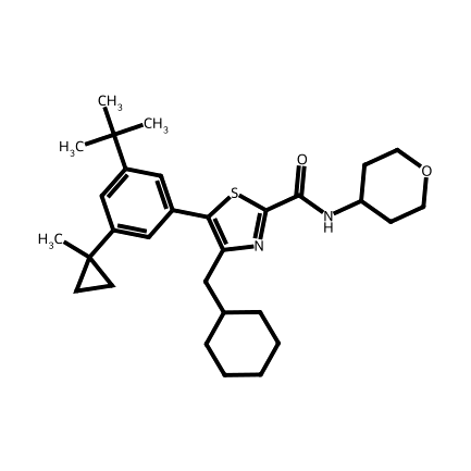 CC(C)(C)c1cc(-c2sc(C(=O)NC3CCOCC3)nc2CC2CCCCC2)cc(C2(C)CC2)c1